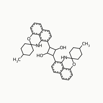 CC1CCC2(CC1)Nc1c(C3C(O)C(c4ccc5cccc6c5c4NC4(CCC(C)CC4)O6)C3O)ccc3cccc(c13)O2